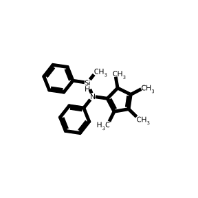 CC1=C(C)C(C)C(N(c2ccccc2)[SiH](C)c2ccccc2)=C1C